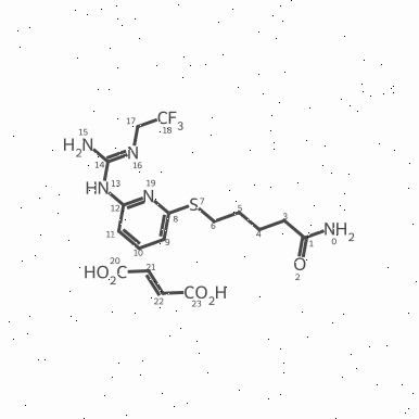 NC(=O)CCCCSc1cccc(NC(N)=NCC(F)(F)F)n1.O=C(O)C=CC(=O)O